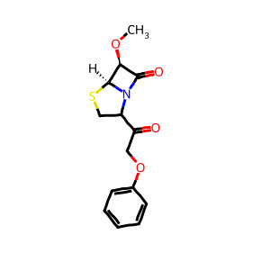 CO[C@H]1C(=O)N2C(C(=O)COc3ccccc3)CS[C@@H]12